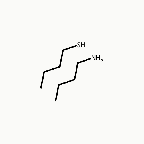 CCCCN.CCCCS